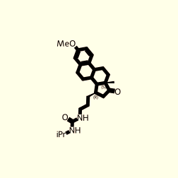 COc1ccc2c(c1)CCC1C2CC[C@]2(C)C(=O)C[C@@H](CCCNC(=O)NC(C)C)C12